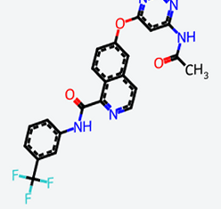 CC(=O)Nc1cc(Oc2ccc3c(C(=O)Nc4cccc(C(F)(F)F)c4)nccc3c2)ncn1